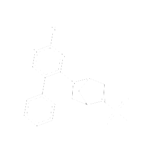 CS(=O)(=O)N1CC2CC1CN2c1nc(N)ncc1-c1ccccc1